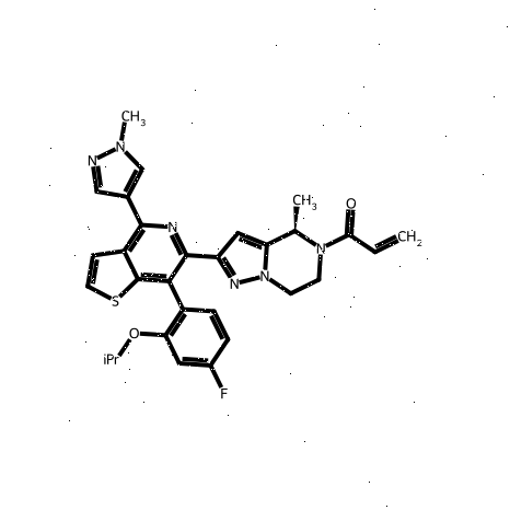 C=CC(=O)N1CCn2nc(-c3nc(-c4cnn(C)c4)c4ccsc4c3-c3ccc(F)cc3OC(C)C)cc2[C@H]1C